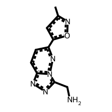 Cc1cc(-c2ccc3nnc(CN)n3n2)on1